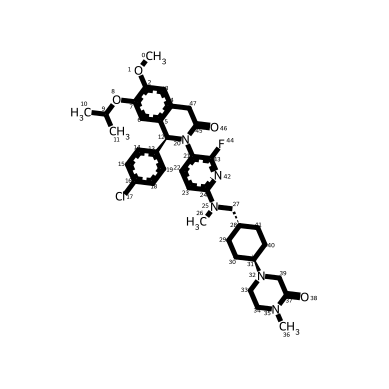 COc1cc2c(cc1OC(C)C)[C@H](c1ccc(Cl)cc1)N(c1ccc(N(C)C[C@H]3CC[C@H](N4CCN(C)C(=O)C4)CC3)nc1F)C(=O)C2